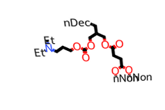 C[CH]CCCCCCCCCC(COC(=O)CCC(OCCCCCCCCC)OCCCCCCCCC)COC(=O)OCCCN(CC)CC